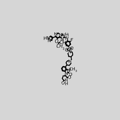 CC(C)Oc1c(-c2cn[nH]c2)ncn2nc(Nc3ccc(S(=O)(=O)N4CCC(CN5CCC(c6cccc7c6n(C)c(=O)n7[C@H]6CCC(=O)NC6=O)CC5)CC4)cc3F)nc12